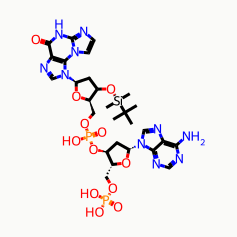 CC(C)(C)[Si](C)(C)OC1C[C@H](n2cnc3c(=O)[nH]c4nccn4c32)O[C@@H]1COP(=O)(O)O[C@H]1C[C@H](n2cnc3c(N)ncnc32)O[C@@H]1COP(=O)(O)O